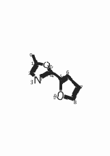 Cc1[c]nc(-c2ccco2)o1